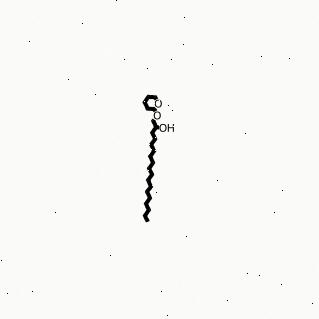 CCCCCCCCCCCCCCCCC(O)COC1CCCCO1